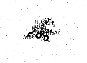 COc1cccc(OC)c1-n1c(-c2ccco2)nnc1N(CC[Si](C)(C)C)S(=O)(=O)C(C)Cc1ncc(F)cc1NC(C)=O